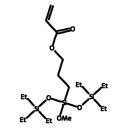 C=CC(=O)OCCC[Si](OC)(O[Si](CC)(CC)CC)O[Si](CC)(CC)CC